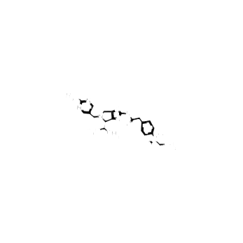 CCS(=O)(=O)c1ccc(CC(=O)Nc2nc3c(s2)CN(Cc2cnc(C)nc2)[C@H]3C(C)C)cc1